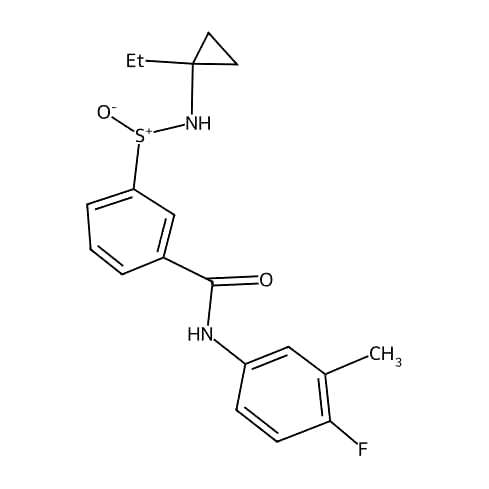 CCC1(N[S+]([O-])c2cccc(C(=O)Nc3ccc(F)c(C)c3)c2)CC1